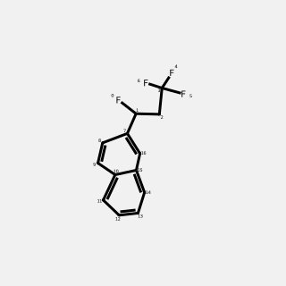 FC(CC(F)(F)F)c1ccc2ccccc2c1